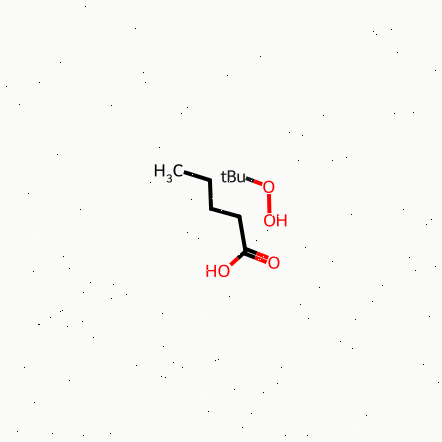 CC(C)(C)OO.CCCCC(=O)O